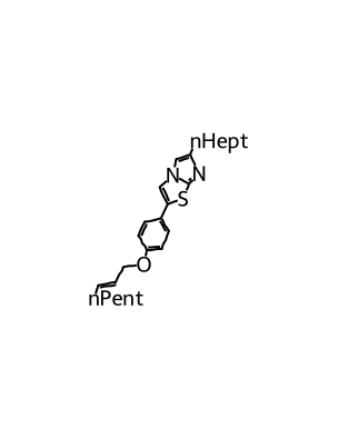 CCCCCC=CCOc1ccc(-c2cn3cc(CCCCCCC)nc3s2)cc1